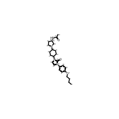 CCCCOc1ccc(-n2ccn(C3CCC(N4CC[C@@H](NC(C)=O)C4)CC3)c2=O)cc1